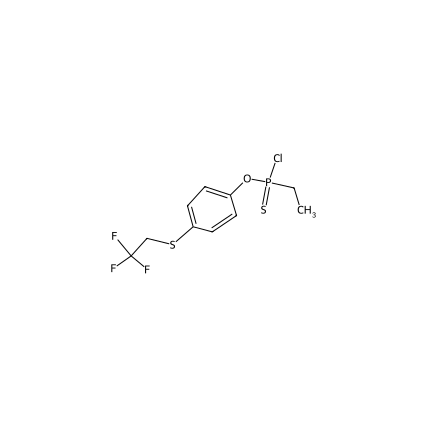 CCP(=S)(Cl)Oc1ccc(SCC(F)(F)F)cc1